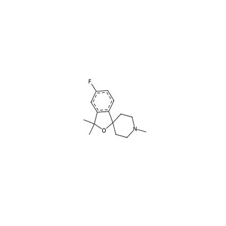 CN1CCC2(CC1)OC(C)(C)c1cc(F)ccc12